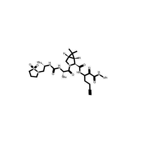 C#CCCC(NC(=O)[C@@H]1[C@@H]2[C@H](CN1C(=O)[C@@H](NC(=O)N[C@H](CN1CCCS1(=O)=O)C(C)(C)C)C(C)(C)C)C2(C)C)C(=O)C(=O)NCCC